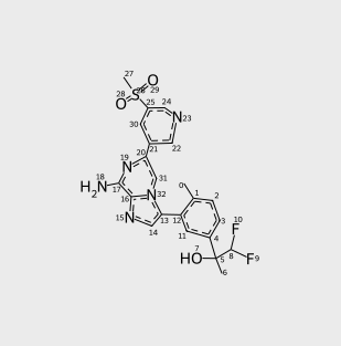 Cc1ccc(C(C)(O)C(F)F)cc1-c1cnc2c(N)nc(-c3cncc(S(C)(=O)=O)c3)cn12